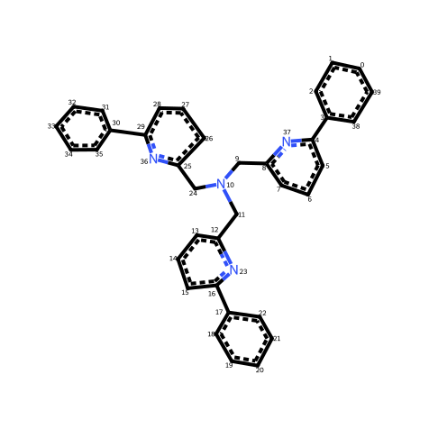 c1ccc(-c2cccc(CN(Cc3cccc(-c4ccccc4)n3)Cc3cccc(-c4ccccc4)n3)n2)cc1